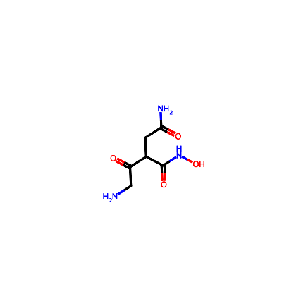 NCC(=O)C(CC(N)=O)C(=O)NO